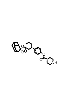 O=C(Oc1ccc([C@@H]2CCC[C@]3(C2)OOC2(O3)C3CC4CC(C3)CC2C4)cc1)N1CCNCC1